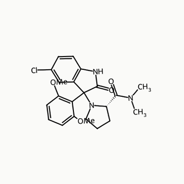 COc1cccc(OC)c1C1(N2CCC[C@H]2C(=O)N(C)C)C(=O)Nc2ccc(Cl)cc21